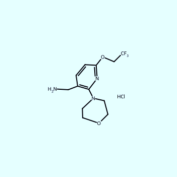 Cl.NCc1ccc(OCC(F)(F)F)nc1N1CCOCC1